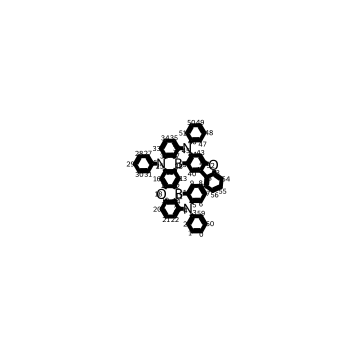 c1ccc(N2c3ccccc3B3c4cc5c(cc4Oc4cccc2c43)N(c2ccccc2)c2cccc3c2B5c2cc4c(cc2N3c2ccccc2)oc2ccccc24)cc1